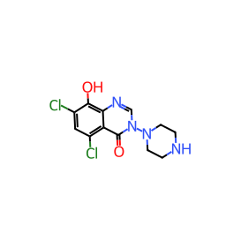 O=c1c2c(Cl)cc(Cl)c(O)c2ncn1N1CCNCC1